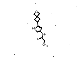 CCC(=O)Nc1cc(C2CC3(COC3)C2)[nH]n1